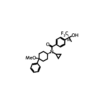 CO[C@]1(c2ccccc2)CC[C@H](N(C(=O)c2ccc([C@](C)(O)C(F)(F)F)cc2)C2CC2)CC1